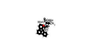 COP(=O)(OC)C1N2C(=O)C(NC(c3ccccc3)(c3ccccc3)c3ccccc3)[C@@H]2SC1(C)C